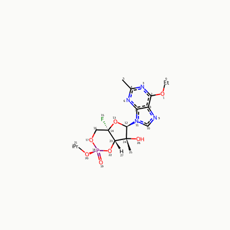 CCOc1nc(C)nc2c1ncn2[C@@H]1O[C@]2(F)CO[P@](=O)(OC(C)C)O[C@H]2[C@@]1(C)O